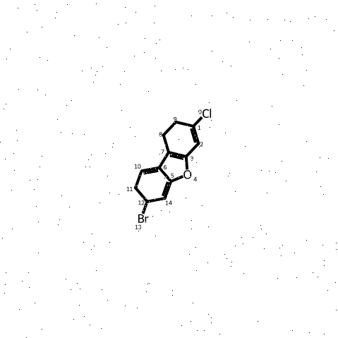 ClC1=Cc2oc3c(c2CC1)=CCC(Br)C=3